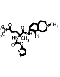 CN1CCc2ccc(NC(=O)C(C)(CCC(=O)N(C)C)NC(=O)Oc3cccs3)c(Cl)c2CC1